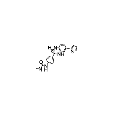 CN(C)C(=O)Nc1ccc(C(=O)Nc2cc(-c3cccs3)ccc2N)cc1